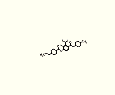 CCCC1CCC(C(=O)Oc2ccc(C(=O)CC3CCC(C)CC3)c(C(F)F)c2F)CC1